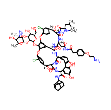 CN[C@H](CC(C)C)C(=O)N[C@H]1C(=O)N[C@@H](CC(=O)NC(=O)Cc2ccc(OCCN)cc2)C(=O)N[C@H]2C(=O)N[C@H]3C(=O)N[C@H](C(=O)N[C@H](C(=O)NC4C5CC6CC(C5)CC4C6)c4cc(O)cc(O)c4-c4cc3ccc4O)[C@H](O)c3ccc(c(Cl)c3)Oc3cc2cc(c3O[C@@H]2O[C@H](CO)[C@@H](O)[C@H](O)[C@H]2O[C@H]2C[C@](C)(N)[C@H](O)[C@H](C)O2)Oc2ccc(cc2Cl)[C@H]1O